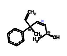 C=C[C@](C)(/C=C\[C@@H](O)P)c1ccccc1